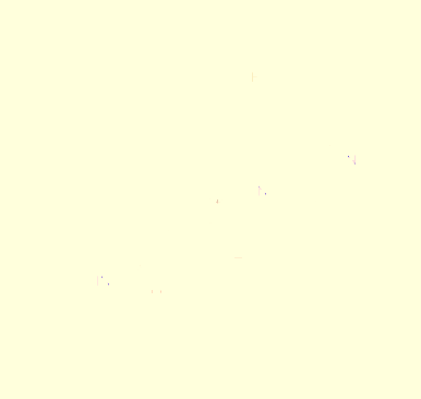 CC(C)NC(=O)C(C)C1C[C@@H]2CN(c3ccnc4ccc(F)cc34)C[C@@H]2C1